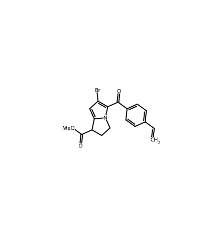 C=Cc1ccc(C(=O)c2c(Br)cc3n2CCC3C(=O)OC)cc1